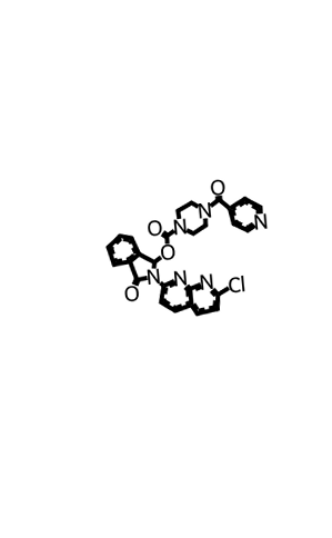 O=C(OC1c2ccccc2C(=O)N1c1ccc2ccc(Cl)nc2n1)N1CCN(C(=O)c2ccncc2)CC1